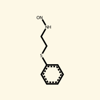 O=NNCCSc1ccccc1